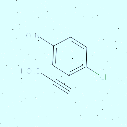 C#CC(=O)O.O=[N+]([O-])c1ccc(Cl)cc1